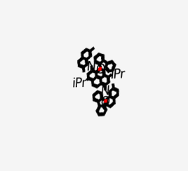 Cc1ccc2ccc(C)c(N(c3cc(C(C)C)c4ccc5c(N(c6c(C)ccc7ccc(C)cc67)c6cccc7c6oc6ccccc67)cc(C(C)C)c6ccc3c4c65)c3cccc4c3oc3ccccc34)c2c1